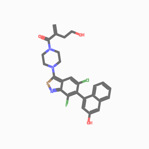 C=C(CCO)C(=O)N1CCN(c2snc3c(F)c(-c4cc(O)cc5ccccc45)c(Cl)cc23)CC1